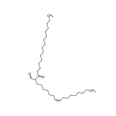 CCCCCCCC/C=C\CCCCCCC([C]=O)C(=O)CCCCCCCCCCCCCCC